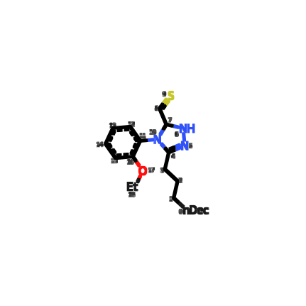 CCCCCCCCCCCCCC1=NNC(C=S)N1c1ccccc1OCC